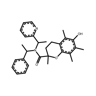 Cc1c(C)c2c(c(C)c1O)CCC(C)(C(=O)N(C(C)c1ccccc1)C(C)c1ccccn1)O2